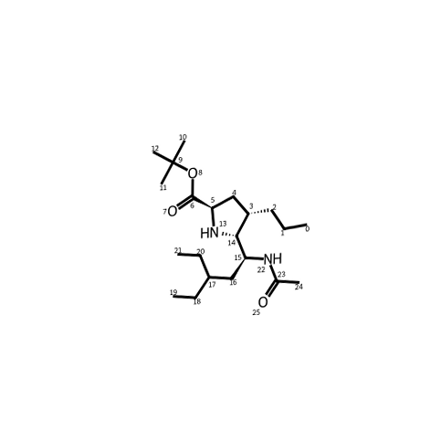 CCC[C@H]1C[C@H](C(=O)OC(C)(C)C)N[C@H]1[C@H](CC(CC)CC)NC(C)=O